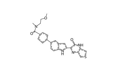 COCCN(C)C(=O)c1ccc(-c2ccc3[nH]c(-c4nc5cscc5[nH]c4=O)cc3c2)cc1